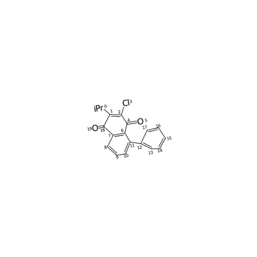 CC(C)C1=C(Cl)C(=O)c2c(cccc2-c2ccccc2)C1=O